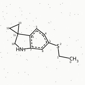 CCSc1ccc2c(c1)NCC21CC1